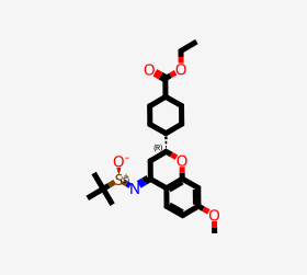 CCOC(=O)C1CCC([C@H]2CC(=N[S@+]([O-])C(C)(C)C)c3ccc(OC)cc3O2)CC1